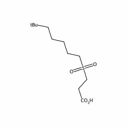 CC(C)(C)CCCCCS(=O)(=O)CCC(=O)O